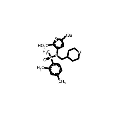 Cc1ccc(P(C)(=O)N(CC2CCOCC2)c2cc(C(C)(C)C)sc2C(=O)O)c(C)c1